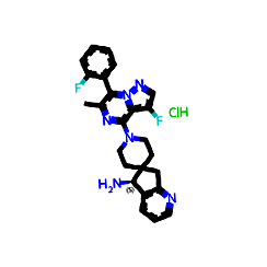 Cc1nc(N2CCC3(CC2)Cc2ncccc2[C@H]3N)c2c(F)cnn2c1-c1ccccc1F.Cl